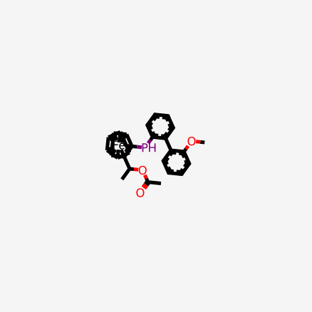 COc1ccccc1-c1ccccc1P[C]12[CH]3[CH]4[CH]5[C]1(C(C)OC(C)=O)[Fe]43521678[CH]2[CH]1[CH]6[CH]7[CH]28